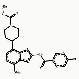 COc1ccc(C2CCN(C(=O)OC(C)(C)C)CC2)c2sc(NC(=O)c3ccc(F)cc3)nc12